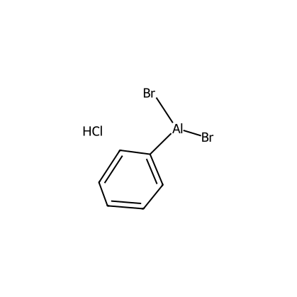 Cl.[Br][Al]([Br])[c]1ccccc1